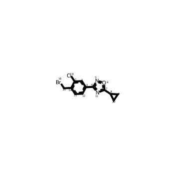 Clc1cc(-c2noc(C3CC3)n2)ccc1CBr